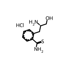 Cl.NC(=S)c1ccccc1C[C@@H](N)CO